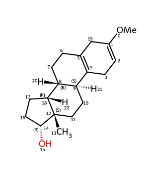 COC1=CCC2=C(CC[C@@H]3[C@@H]2CC[C@]2(C)[C@H](O)CC[C@H]32)C1